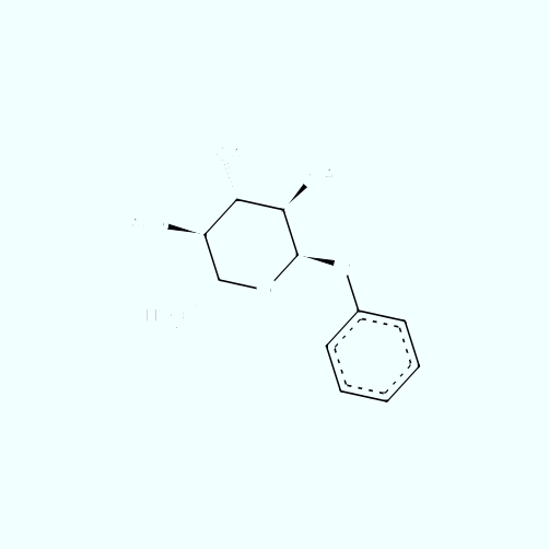 CC(=O)O[C@@H]1[C@@H](OC(C)=O)[C@@H](Oc2ccccc2)O[C@H](C(=O)O)[C@H]1OC(C)=O